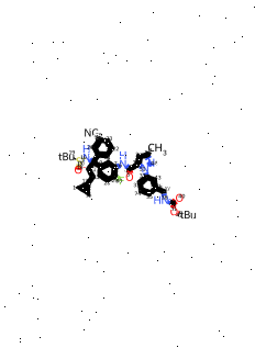 Cc1cc(C(=O)Nc2cc(C(CCC3CC3)(N[S@+]([O-])C(C)(C)C)c3cccc(C#N)c3)ccc2F)n(-c2cccc(CNC(=O)OC(C)(C)C)c2)n1